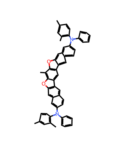 Cc1ccc(N(c2ccccc2)c2ccc3cc4c(cc3c2)oc2c(C)c3oc5cc6cc(N(c7ccccc7)c7ccc(C)cc7C)ccc6cc5c3cc24)c(C)c1